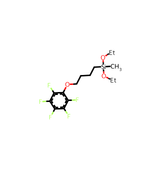 CCO[Si](C)(CCCCOc1c(F)c(F)c(F)c(F)c1F)OCC